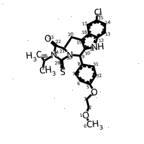 COCCOc1ccc(C2c3[nH]c4ccc(Cl)cc4c3CC3C(=O)N(C(C)C)C(=S)N32)cc1